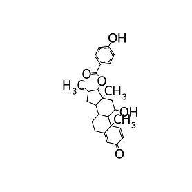 CC1CC2C3CCC4=CC(=O)C=CC4(C)C3C(O)CC2(C)C1OC(=O)c1ccc(O)cc1